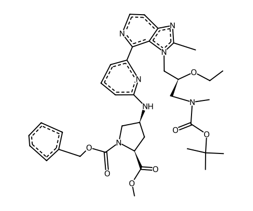 CCO[C@@H](CN(C)C(=O)OC(C)(C)C)Cn1c(C)nc2ccnc(-c3cccc(N[C@H]4C[C@@H](C(=O)OC)N(C(=O)OCc5ccccc5)C4)n3)c21